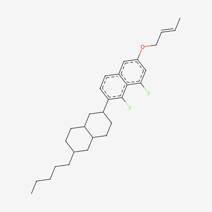 C/C=C/COc1cc(F)c2c(F)c(C3CCC4CC(CCCCC)CCC4C3)ccc2c1